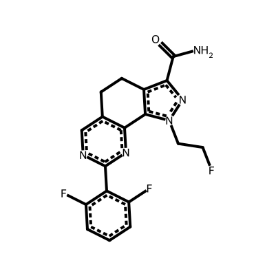 NC(=O)c1nn(CCF)c2c1CCc1cnc(-c3c(F)cccc3F)nc1-2